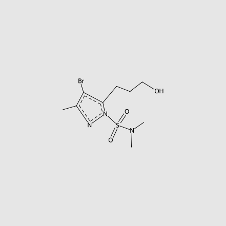 Cc1nn(S(=O)(=O)N(C)C)c(CCCO)c1Br